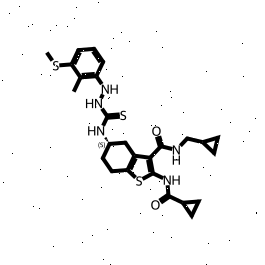 CSc1cccc(NNC(=S)N[C@H]2CCc3sc(NC(=O)C4CC4)c(C(=O)NCC4CC4)c3C2)c1C